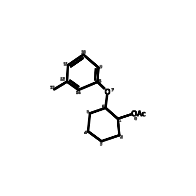 CC(=O)OC1CCCCC1Oc1cccc(C)c1